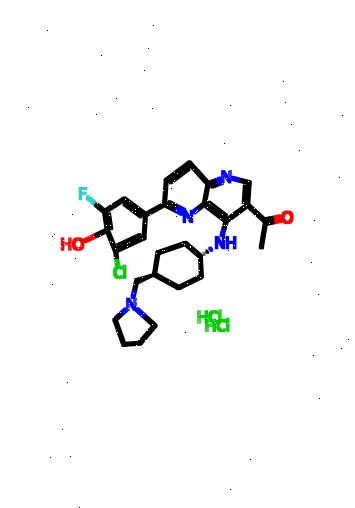 CC(=O)c1cnc2ccc(-c3cc(F)c(O)c(Cl)c3)nc2c1N[C@H]1CC[C@H](CN2CCCC2)CC1.Cl.Cl